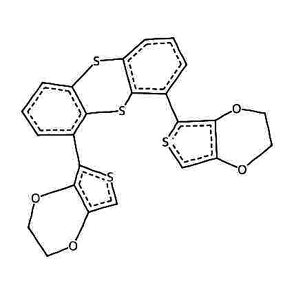 c1cc2c(c(-c3scc4c3OCCO4)c1)Sc1c(cccc1-c1scc3c1OCCO3)S2